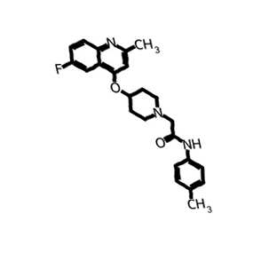 Cc1ccc(NC(=O)CN2CCC(Oc3cc(C)nc4ccc(F)cc34)CC2)cc1